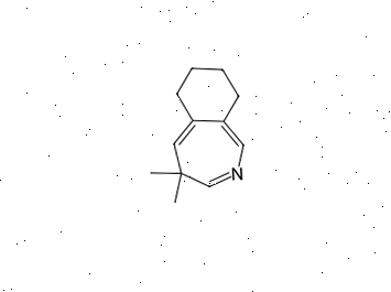 CC1(C)C=NC=C2CCCCC2=C1